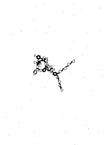 COCCOCCOCCOCc1ccc(-c2nccc(COc3ccc4cc3[C@H](C(=O)O)Oc3ncnc5sc(-c6ccc(F)cc6)c(c35)-c3c(C)c(Cl)c(c(Cl)c3C)O[C@H](CN3CCN(C)CC3)CO4)n2)cc1COCCOCCOCCOC